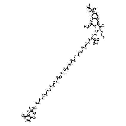 CCCN(OCCN(CCOCCOCCOCCOCCOCCOCCOCCOCCOCCOCCNC(=O)CN1C(=O)C=CC1=O)C(=O)O)C(=O)C1=Cc2ccc(S(=O)(=O)NC)cc2N=C(N)C1